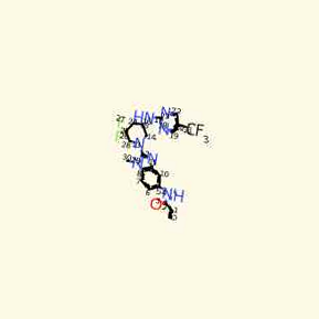 C=CC(=O)Nc1ccc2c(c1)nc(N1CC(Nc3ncc(C(F)(F)F)cn3)CC(F)(F)C1)n2C